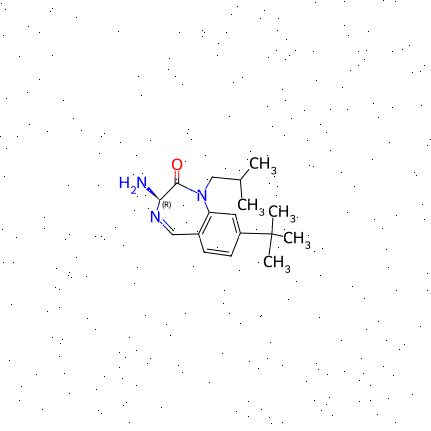 CC(C)CN1C(=O)[C@H](N)N=Cc2ccc(C(C)(C)C)cc21